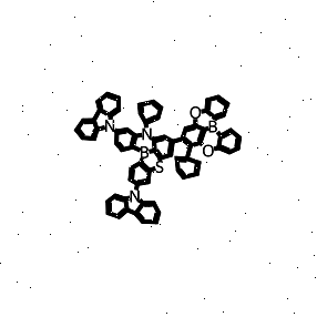 c1ccc(-c2c(-c3cc4c5c(c3)N(c3ccccc3)c3cc(-n6c7ccccc7c7ccccc76)ccc3B5c3ccc(-n5c6ccccc6c6ccccc65)cc3S4)cc3c4c2Oc2ccccc2B4c2ccccc2O3)cc1